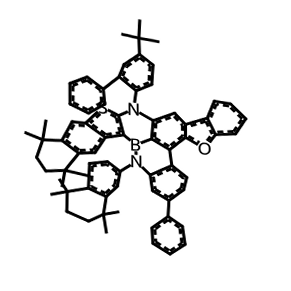 CC(C)(C)c1ccc(N2c3cc4c(oc5ccccc54)c4c3B(c3c2sc2cc5c(cc32)C(C)(C)CCC5(C)C)N(c2ccc3c(c2)C(C)(C)CCC3(C)C)c2cc(-c3ccccc3)ccc2-4)c(-c2ccccc2)c1